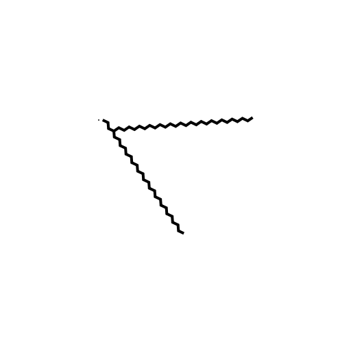 [CH2]CCC(CCCCCCCCCCCCCCCCCCCCCCCC)CCCCCCCCCCCCCCCCCCCCCCCCCCC